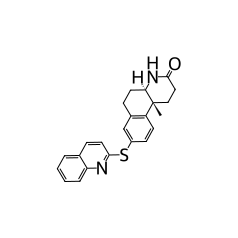 C[C@]12CCC(=O)N[C@@H]1CCc1cc(Sc3ccc4ccccc4n3)ccc12